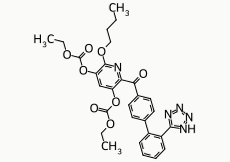 CCCCOc1nc(C(=O)c2ccc(-c3ccccc3-c3nnn[nH]3)cc2)c(OC(=O)OCC)cc1OC(=O)OCC